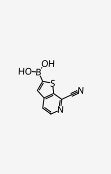 N#Cc1nccc2cc(B(O)O)sc12